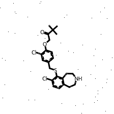 CC(C)(C)C(=O)COc1ccc(CSc2c(Cl)ccc3c2CCNCC3)cc1Cl